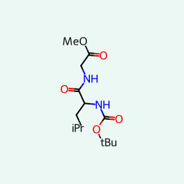 COC(=O)CNC(=O)C(CC(C)C)NC(=O)OC(C)(C)C